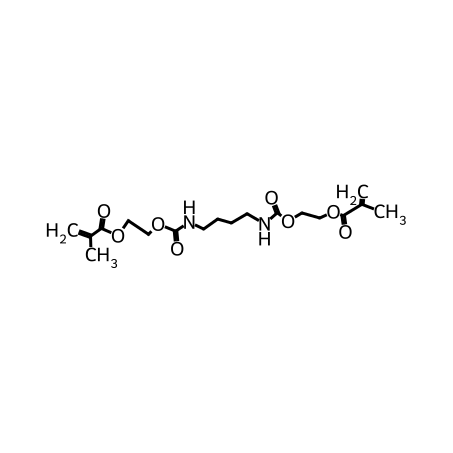 C=C(C)C(=O)OCCOC(=O)NCCCCNC(=O)OCCOC(=O)C(=C)C